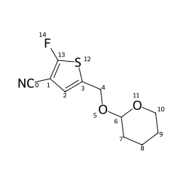 N#Cc1cc(COC2CCCCO2)sc1F